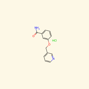 Cl.NC(=O)c1cccc(OCc2cccnc2)c1